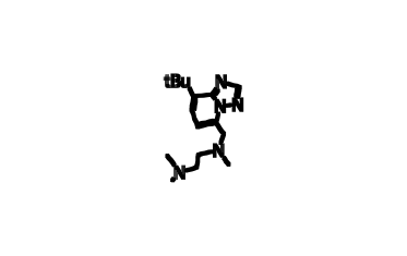 CN(C)CCN(C)Cc1ccc(C(C)(C)C)c2ncnn12